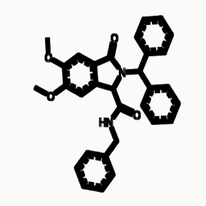 COc1cc2c(cc1OC)C(C(=O)NCc1ccccc1)N(C(c1ccccc1)c1ccccc1)C2=O